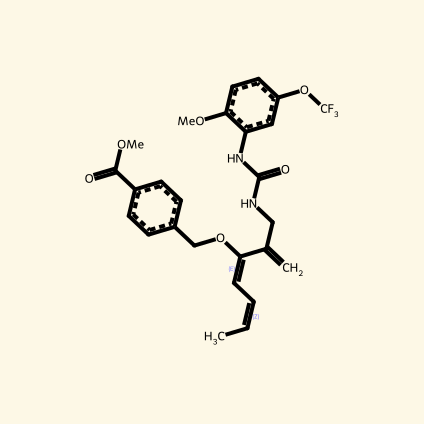 C=C(CNC(=O)Nc1cc(OC(F)(F)F)ccc1OC)/C(=C\C=C/C)OCc1ccc(C(=O)OC)cc1